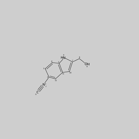 [C-]#[N+]c1ccc2[nH]c(CO)cc2c1